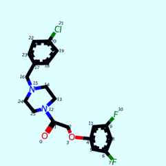 O=C(COc1cc(F)cc(F)c1)N1CCN(Cc2ccc(Cl)cc2)CC1